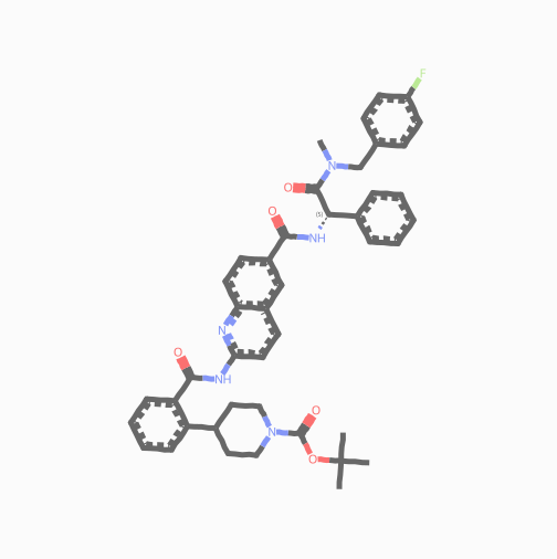 CN(Cc1ccc(F)cc1)C(=O)[C@@H](NC(=O)c1ccc2nc(NC(=O)c3ccccc3C3CCN(C(=O)OC(C)(C)C)CC3)ccc2c1)c1ccccc1